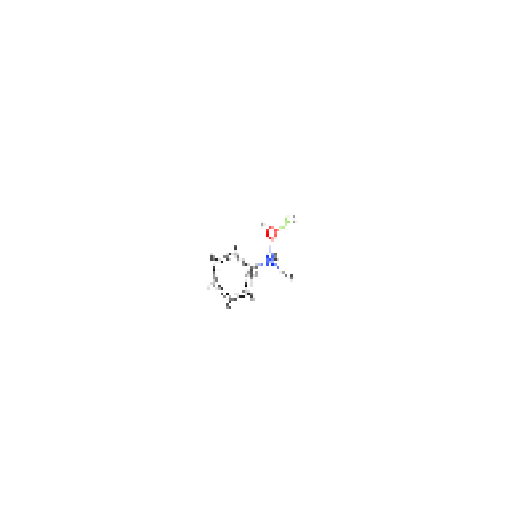 CN(OF)c1ccccc1